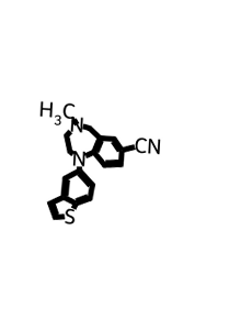 CN1CCN(c2ccc3sccc3c2)c2ccc(C#N)cc2C1